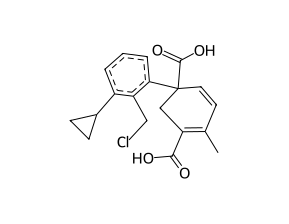 CC1=C(C(=O)O)CC(C(=O)O)(c2cccc(C3CC3)c2CCl)C=C1